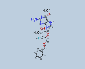 COc1nc(N)nc2c1ncn2[C@@H]1O[C@H](COCc2ccccc2)[C@H](F)[C@@]1(C)O